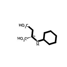 O=C(O)C[C@H](NC1CCCCC1)C(=O)O